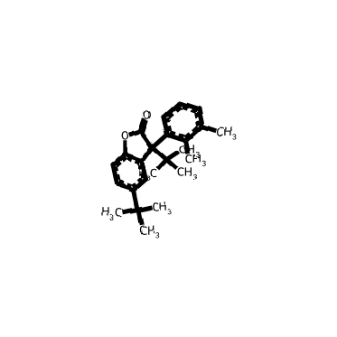 Cc1cccc(C2(C(C)(C)C)C(=O)Oc3ccc(C(C)(C)C)cc32)c1C